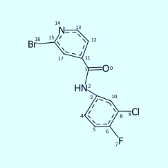 O=C(Nc1ccc(F)c(Cl)c1)c1ccnc(Br)c1